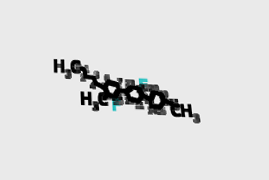 CCCCCc1ccc(-c2ccc(-c3ccc(CC)cc3)c(F)c2)c(F)c1C